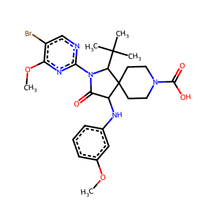 COc1cccc(NC2C(=O)N(c3ncc(Br)c(OC)n3)C(C(C)(C)C)C23CCN(C(=O)O)CC3)c1